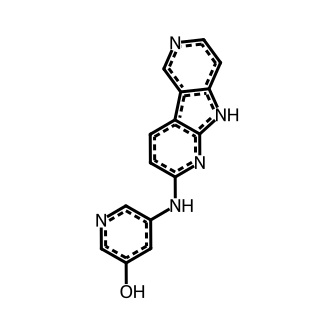 Oc1cncc(Nc2ccc3c(n2)[nH]c2ccncc23)c1